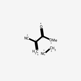 C=C(C#N)C(=O)OC.CC#N